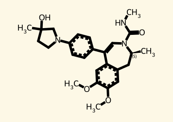 CNC(=O)N1C=C(c2ccc(N3CCC(C)(O)C3)cc2)c2cc(OC)c(OC)cc2C[C@@H]1C